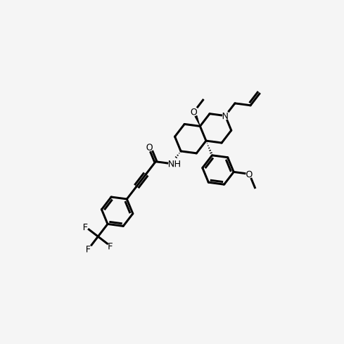 C=CCN1CC[C@@]2(c3cccc(OC)c3)C[C@H](NC(=O)C#Cc3ccc(C(F)(F)F)cc3)CC[C@]2(OC)C1